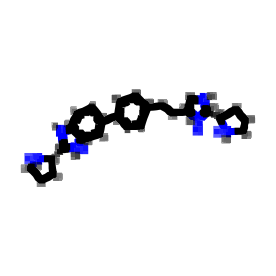 c1cc(-c2ccc3nc([C@@H]4CCCN4)[nH]c3c2)ccc1CCc1cnc([C@@H]2CCCN2)[nH]1